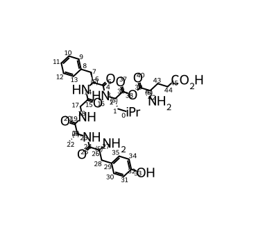 CC(C)C[C@H](NC(=O)[C@H](Cc1ccccc1)NC(=O)CNC(=O)[C@@H](C)NC(=O)[C@@H](N)Cc1ccc(O)cc1)C(=O)OC(=O)[C@@H](N)CCC(=O)O